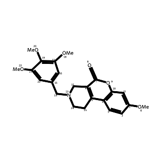 COc1ccc2c3c(c(=O)oc2c1)CN(Cc1cc(OC)c(OC)c(OC)c1)CC3